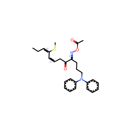 CC/C=C(\C=C/CC(=O)/C(CCCN(c1ccccc1)c1ccccc1)=N/OC(C)=O)SC